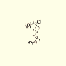 CC(C)CC(C)(Cl)CCCC(C)C(C)C